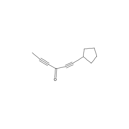 CC#CC(=O)C#CC1CCCC1